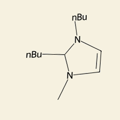 CCCCC1N(C)C=CN1CCCC